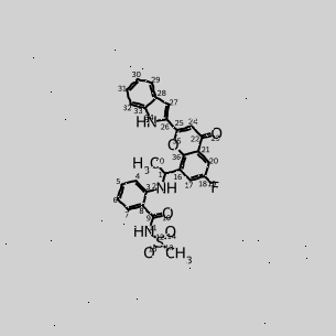 CC(Nc1ccccc1C(=O)NS(C)(=O)=O)c1cc(F)cc2c(=O)cc(-c3cc4ccccc4[nH]3)oc12